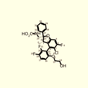 C[C@H]1c2c(cc(F)c(Cl)c2-c2c(OCCO)ccc(F)c2F)O[C@]1(CNC(=O)O)c1ccccc1